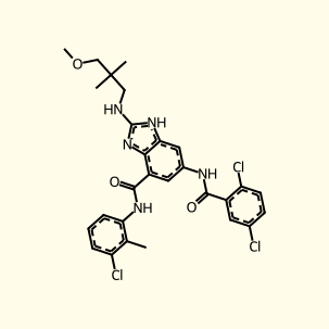 COCC(C)(C)CNc1nc2c(C(=O)Nc3cccc(Cl)c3C)cc(NC(=O)c3cc(Cl)ccc3Cl)cc2[nH]1